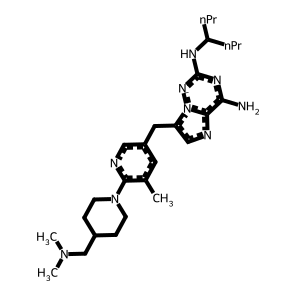 CCCC(CCC)Nc1nc(N)c2ncc(Cc3cnc(N4CCC(CN(C)C)CC4)c(C)c3)n2n1